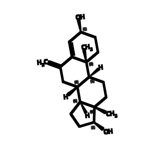 C=C1C[C@H]2[C@@H]3CC[C@H](O)[C@@]3(C)CC[C@@H]2[C@@]2(C)CC[C@H](O)C=C12